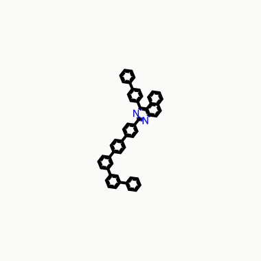 c1ccc(-c2ccc(-c3nc(-c4ccc(-c5ccc(-c6cccc(-c7cccc(-c8ccccc8)c7)c6)cc5)cc4)nc4ccc5ccccc5c34)cc2)cc1